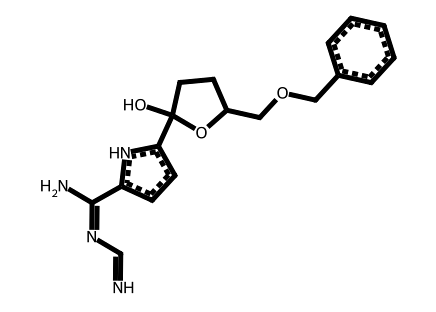 N=C/N=C(/N)c1ccc(C2(O)CCC(COCc3ccccc3)O2)[nH]1